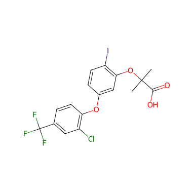 CC(C)(Oc1cc(Oc2ccc(C(F)(F)F)cc2Cl)ccc1I)C(=O)O